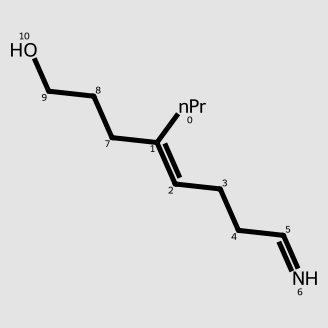 CCC/C(=C\CCC=N)CCCO